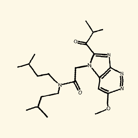 COc1cc2c(nn1)nc(C(=O)C(C)C)n2CC(=O)N(CCC(C)C)CCC(C)C